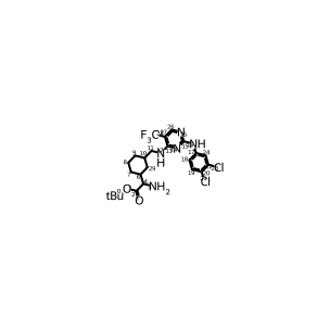 CC(C)(C)OC(=O)C(N)C1CCCC(CNc2nc(Nc3ccc(Cl)c(Cl)c3)ncc2C(F)(F)F)C1